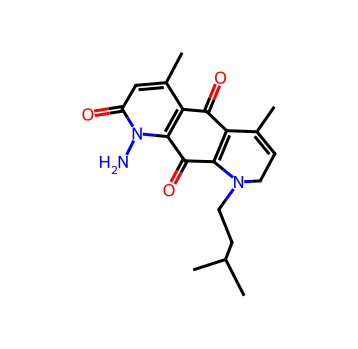 CC1=CCN(CCC(C)C)C2=C1C(=O)c1c(C)cc(=O)n(N)c1C2=O